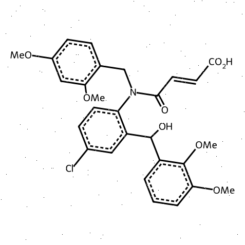 COc1ccc(CN(C(=O)C=CC(=O)O)c2ccc(Cl)cc2C(O)c2cccc(OC)c2OC)c(OC)c1